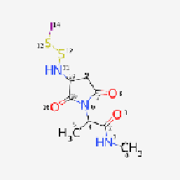 CNC(=O)C(C)N1C(=O)CC(NSSI)C1=O